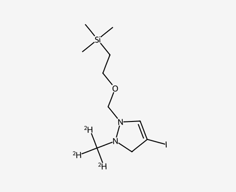 [2H]C([2H])([2H])N1CC(I)=CN1COCC[Si](C)(C)C